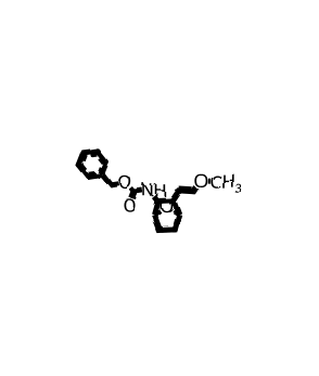 COC=CC1C2CCC(O2)C1NC(=O)OCc1ccccc1